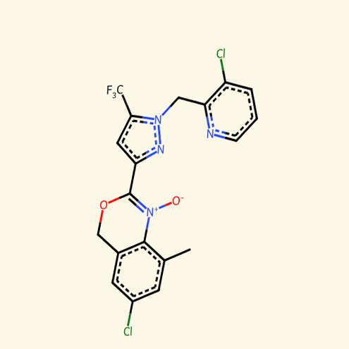 Cc1cc(Cl)cc2c1[N+]([O-])=C(c1cc(C(F)(F)F)n(Cc3ncccc3Cl)n1)OC2